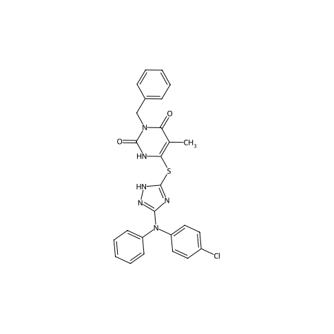 Cc1c(Sc2nc(N(c3ccccc3)c3ccc(Cl)cc3)n[nH]2)[nH]c(=O)n(Cc2ccccc2)c1=O